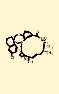 CC(=O)[C@]1(O)/C=C/C[C@H](C)[C@@H](C)S(=O)(=O)NC(=O)c2ccc3c(c2)N(C[C@@H]2CC[C@H]21)C[C@@]1(CCCc2cc(Cl)ccc21)CO3